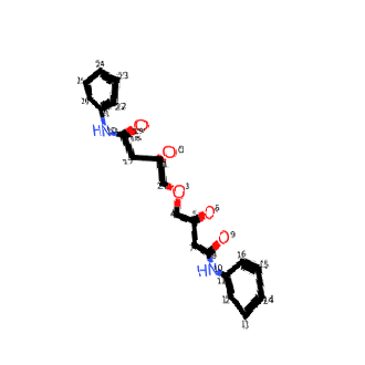 O=C(COCC(=O)CC(=O)Nc1ccccc1)CC(=O)Nc1ccccc1